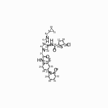 O=C(CN1C[C@H](CNCC2CC2)[C@@H](NC(=O)c2ccc(Cl)s2)C1)Nc1ccc(-n2ccccc2=O)cc1F